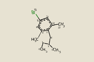 CCC(C)Cc1c(C)cc(Br)cc1C